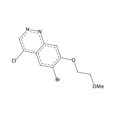 COCCOc1cc2nncc(Cl)c2cc1Br